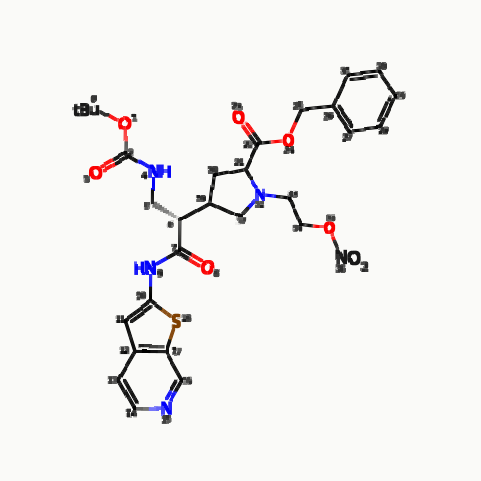 CC(C)(C)OC(=O)NC[C@@H](C(=O)Nc1cc2ccncc2s1)C1CC(C(=O)OCc2ccccc2)N(CCO[N+](=O)[O-])C1